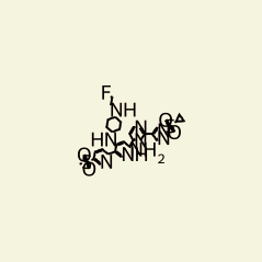 CS(=O)(=O)c1ccc(C2=CNC(N)(c3ccnc(-c4cnn(S(=O)(=O)C5CC5)c4)n3)C=C2NC2CCC(NCCF)CC2)nc1